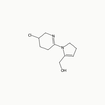 OCC1=CCCN1C1=NCC(Cl)CC1